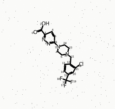 O=C(O)c1ccc(N2CCN(Cc3ccc(C(F)(F)F)cc3Cl)CC2)nn1